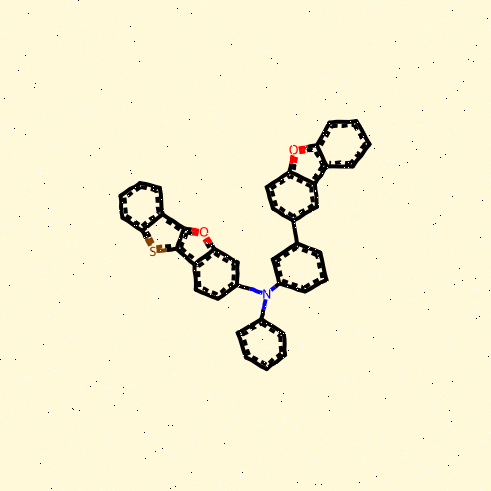 c1ccc(N(c2cccc(-c3ccc4oc5ccccc5c4c3)c2)c2ccc3c(c2)oc2c4ccccc4sc32)cc1